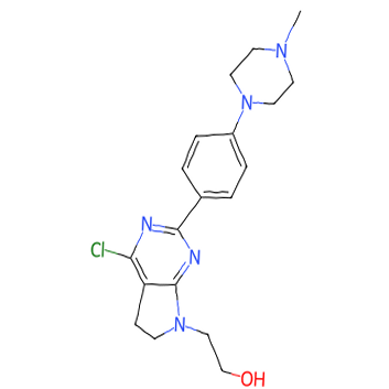 CN1CCN(c2ccc(-c3nc(Cl)c4c(n3)N(CCO)CC4)cc2)CC1